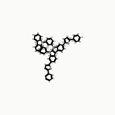 c1ccc(-c2ccc(-c3ccc4c5c6ccc(-c7ccc(-c8ccccc8)s7)cc6n(-c6cccc(-n7c8ccccc8c8ccccc87)c6)c5n(-c5ccccc5)c4c3)s2)cc1